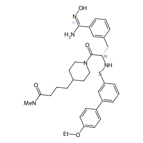 CCOc1ccc(-c2cccc(SN[C@@H](Cc3cccc(/C(N)=N\O)c3)C(=O)N3CCC(CCCC(=O)NC)CC3)c2)cc1